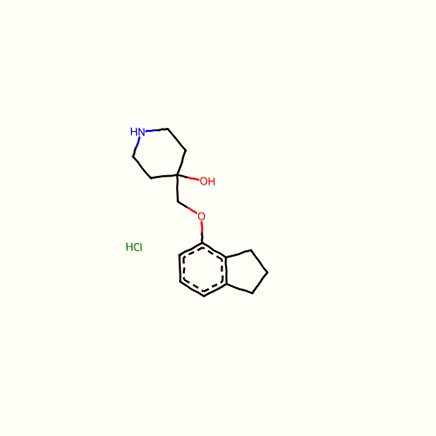 Cl.OC1(COc2cccc3c2CCC3)CCNCC1